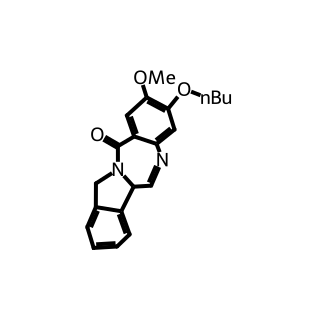 CCCCOc1cc2c(cc1OC)C(=O)N1Cc3ccccc3C1C=N2